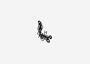 O=C(Nc1nc2c(ncn2CC(=O)N2CCN(S(=O)(=O)c3nc4ccccc4s3)C(=O)O2)c(=O)[nH]1)OC(c1ccccc1)c1ccccc1